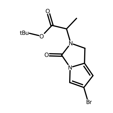 CC(C(=O)OC(C)(C)C)N1Cc2cc(Br)cn2C1=O